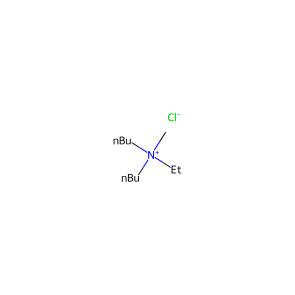 CCCC[N+](C)(CC)CCCC.[Cl-]